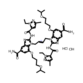 CCn1nc(C)cc1C(=O)Nc1nc2cc(C(N)=O)cc(OCCCOC(C)C)c2n1C/C=C/Cn1c(NC(=O)c2cc(C)nn2CC)nc2cc(C(N)=O)cc(OCCCOC(C)C)c21.Cl.Cl